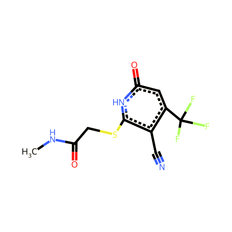 CNC(=O)CSc1[nH]c(=O)cc(C(F)(F)F)c1C#N